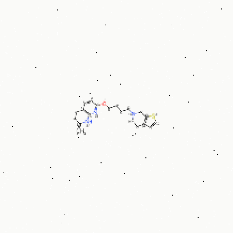 C=C1CCc2ccc(OCCCCN3CCc4ccsc4C3)nc2N1